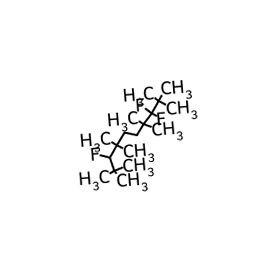 CC(C)(C)C(F)C(C)(C)CCC(C)(C)C(F)(F)C(C)(C)C